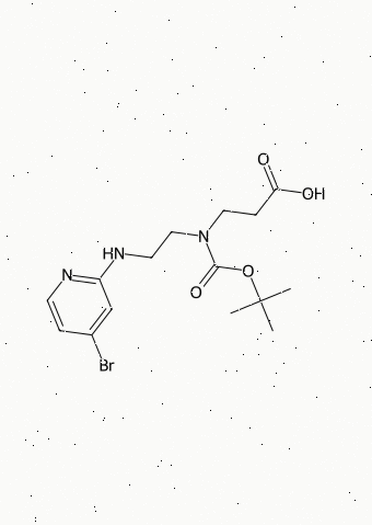 CC(C)(C)OC(=O)N(CCNc1cc(Br)ccn1)CCC(=O)O